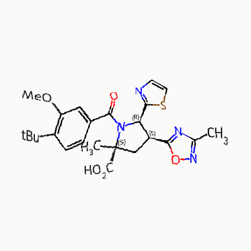 COc1cc(C(=O)N2[C@@H](c3nccs3)[C@@H](c3nc(C)no3)C[C@@]2(C)C(=O)O)ccc1C(C)(C)C